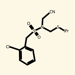 CC(C)SCN(CC#N)S(=O)(=O)Cc1ccccc1Cl